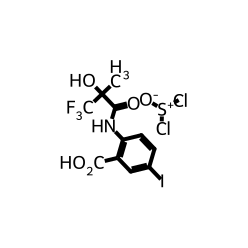 CC(O)(C(=O)Nc1ccc(I)cc1C(=O)O)C(F)(F)F.[O-][S+](Cl)Cl